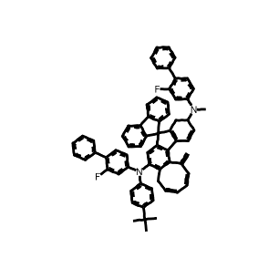 C=C1/C=C\C=C/Cc2c(N(c3ccc(C(C)(C)C)cc3)c3ccc(-c4ccccc4)c(F)c3)cc3c(c21)C1=C(CC(N(C)c2ccc(-c4ccccc4)c(F)c2)C=C1)C31c2ccccc2-c2ccccc21